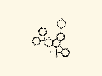 CCC1(CC)c2ccccc2-c2c1c1c(c3cc(N4CCOCC4)ccc23)OC(c2ccccc2)(c2ccccc2)C=C1